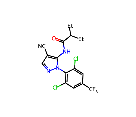 CCC(CC)C(=O)Nc1c(C#N)cnn1-c1c(Cl)cc(C(F)(F)F)cc1Cl